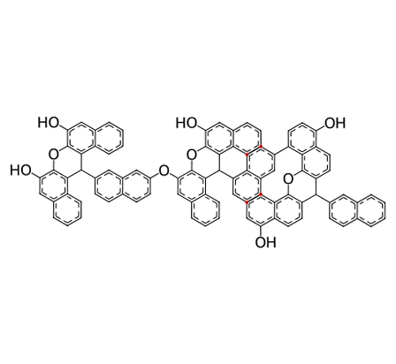 Oc1cc2ccccc2c2c1Oc1c(O)cc3ccccc3c1C2c1ccc2ccc(Oc3cc4ccccc4c4c3Oc3c(O)cc5ccccc5c3C4c3cccc4cc(-c5ccc(O)c6ccc7c(c56)Oc5c(ccc6c(O)cccc56)C7c5ccc6ccccc6c5)ccc34)cc2c1